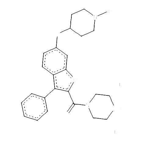 CC(C)N1CCC(Oc2ccc3c(-c4ccccc4)c(C(=O)N4C[C@@H](C)O[C@@H](C)C4)oc3c2)CC1